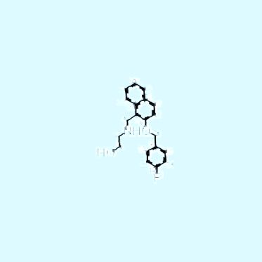 OCCNCc1c(OCc2ccc(F)cc2)ccc2ccccc12